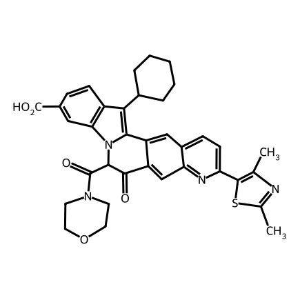 Cc1nc(C)c(-c2ccc3cc4c(cc3n2)C(=O)C(C(=O)N2CCOCC2)n2c-4c(C3CCCCC3)c3ccc(C(=O)O)cc32)s1